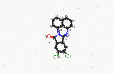 O=C1c2cc(Cl)c(Cl)cc2C2=Nc3cccc4cccc(c34)N12